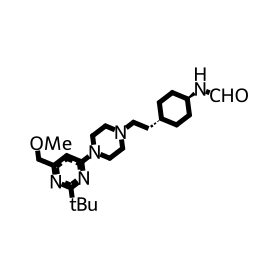 COCc1cc(N2CCN(CC[C@H]3CC[C@H](NC=O)CC3)CC2)nc(C(C)(C)C)n1